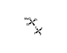 CC[N+](C)(CC)OC.F[B-](F)(F)F